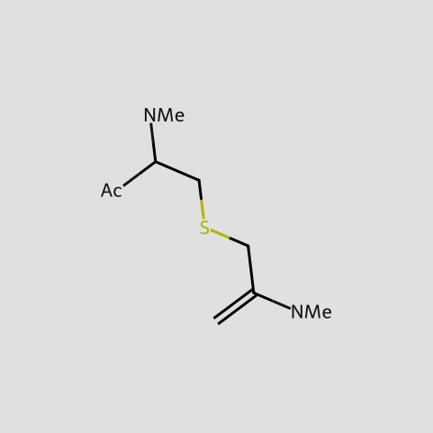 C=C(CSCC(NC)C(C)=O)NC